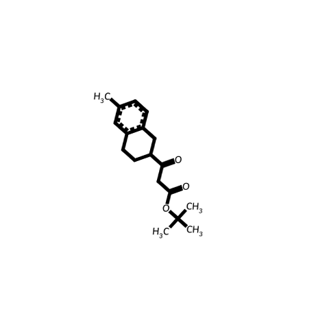 Cc1ccc2c(c1)CCC(C(=O)CC(=O)OC(C)(C)C)C2